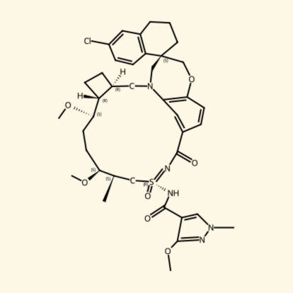 COc1nn(C)cc1C(=O)N[S@@]1(=O)=NC(=O)c2ccc3c(c2)N(C[C@@H]2CC[C@H]2[C@@H](OC)CC[C@H](OC)[C@H](C)C1)C[C@@]1(CCCc2cc(Cl)ccc21)CO3